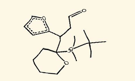 CC(C)(C)[Si](C)(C)C1(C(CC=O)c2ccco2)CCCCO1